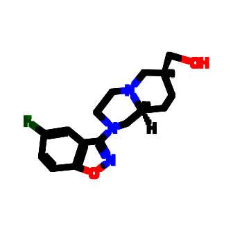 OC[C@H]1CC[C@H]2CN(c3noc4ccc(F)cc34)CCN2C1